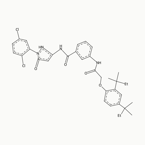 CCC(C)(C)c1ccc(OCC(=O)Nc2cccc(C(=O)Nc3cc(=O)n(-c4cc(Cl)ccc4Cl)[nH]3)c2)c(C(C)(C)CC)c1